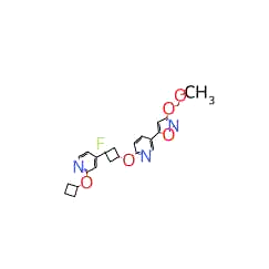 COCOc1cc(-c2ccc(O[C@H]3C[C@@](F)(c4ccnc(OC5CCC5)c4)C3)nc2)on1